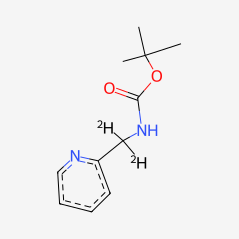 [2H]C([2H])(NC(=O)OC(C)(C)C)c1ccccn1